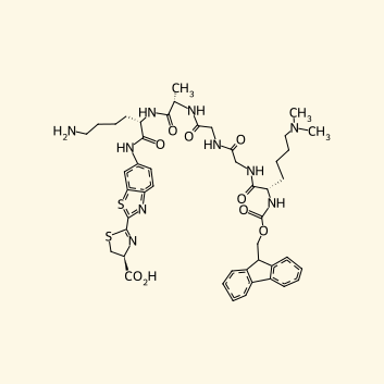 C[C@H](NC(=O)CNC(=O)CNC(=O)[C@H](CCCCN(C)C)NC(=O)OCC1c2ccccc2-c2ccccc21)C(=O)N[C@@H](CCCCN)C(=O)Nc1ccc2nc(C3=N[C@@H](C(=O)O)CS3)sc2c1